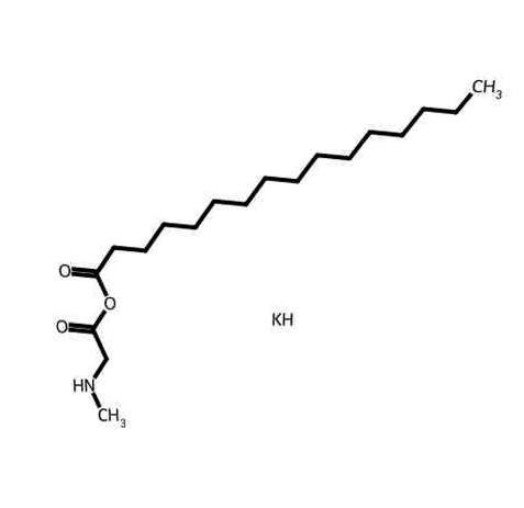 CCCCCCCCCCCCCCCC(=O)OC(=O)CNC.[KH]